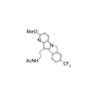 COc1ccc2c(n1)c(CCNC(C)=O)c1n2Cc2cc(C(F)(F)F)ccc2-1